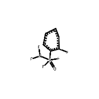 O=S(F)(F)(c1ccccc1F)N(F)F